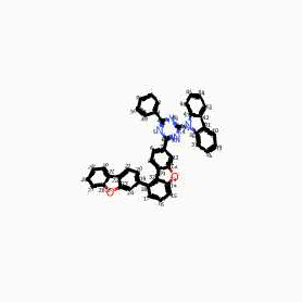 c1ccc(-c2nc(-c3ccc4c(c3)oc3cccc(-c5ccc6c(c5)oc5ccccc56)c34)nc(-n3c4ccccc4c4ccccc43)n2)cc1